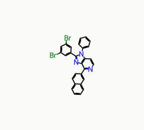 Brc1cc(Br)cc(-c2nc3c(-c4ccc5ccccc5c4)nccc3n2-c2ccccc2)c1